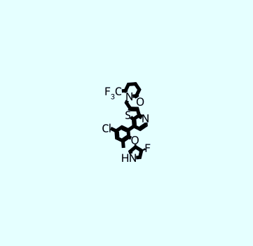 Cc1cc(Cl)cc(-c2ccnc3cc(CN4C(=O)CCCC4C(F)(F)F)sc23)c1O[C@@H]1CNC[C@@H]1F